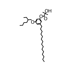 CCCCCCCCCCCCCCCc1cc(OCC(CC)CCCC)cc(OC(=O)C(C)(C)O)c1